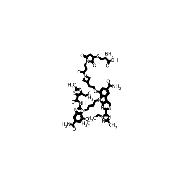 CCc1nc(C)sc1C(=O)Nc1nc2cc(C(N)=O)cc(OC)c2n1C/C=C/Cn1c2nc(-c3nc(C)nn3CC)ncc2c2cc(C(N)=O)cc(OCCC3CN(C(=O)CCN4C(=O)CC(SC[C@H](N)C(=O)O)C4=O)C3)c21